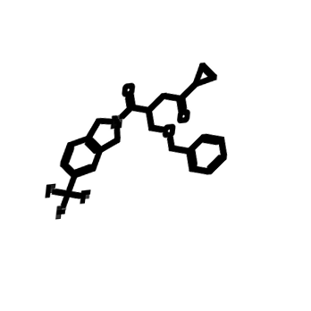 O=C(CC(COCc1ccccc1)C(=O)N1Cc2ccc(C(F)(F)F)cc2C1)C1CC1